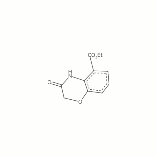 CCOC(=O)c1cccc2c1NC(=O)CO2